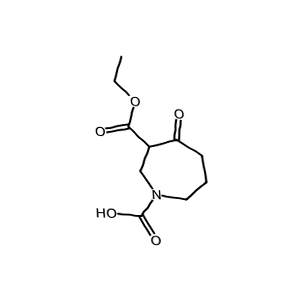 CCOC(=O)C1CN(C(=O)O)CCCC1=O